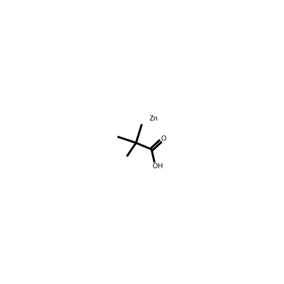 CC(C)(C)C(=O)O.[Zn]